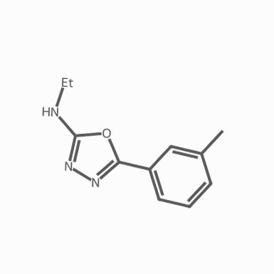 CCNc1nnc(-c2cccc(C)c2)o1